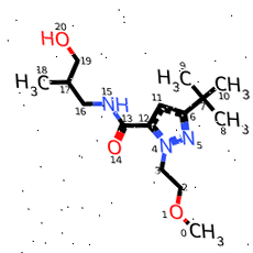 COCCn1nc(C(C)(C)C)cc1C(=O)NCC(C)CO